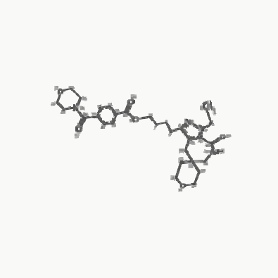 CCn1nc(CCCCOC(=O)c2ccc(C(=O)N3CCOCC3)cc2)c2c1C(=O)NCC1(CCOCC1)C2